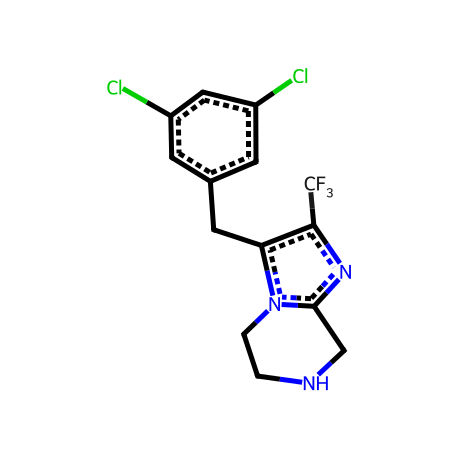 FC(F)(F)c1nc2n(c1Cc1cc(Cl)cc(Cl)c1)CCNC2